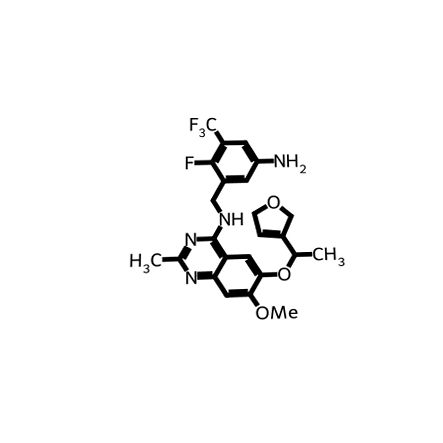 COc1cc2nc(C)nc(NCc3cc(N)cc(C(F)(F)F)c3F)c2cc1OC(C)C1=CCOC1